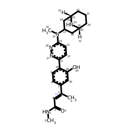 CNC(=O)/C=C(\C)c1ccc(-c2ccc(N(C)C3C[C@H]4CCC[C@@H](C3)N4)nn2)c(O)c1